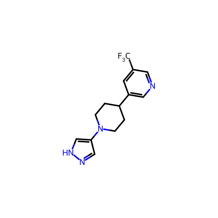 FC(F)(F)c1cncc(C2CCN(c3cn[nH]c3)CC2)c1